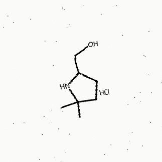 CC1(C)CCC(CO)N1.Cl